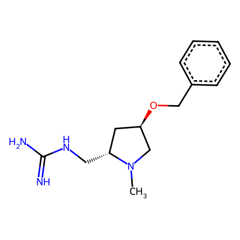 CN1C[C@H](OCc2ccccc2)C[C@H]1CNC(=N)N